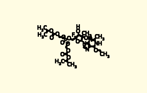 CCOC1NC(C)=Nc2c1ncn2[C@@H]1O[C@](F)(COP(=O)(OCOC(=O)OC(C)C)OCOC(=O)OC(C)C)[C@@H](O)[C@@]1(C)O